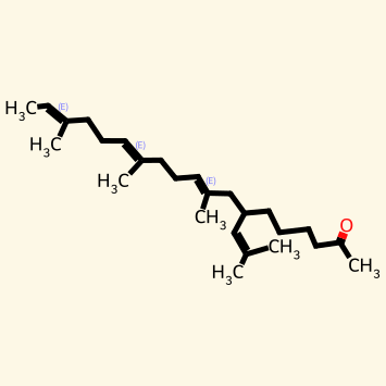 C/C=C(\C)CC/C=C(\C)CC/C=C(\C)CC(C=C(C)C)CCCCC(C)=O